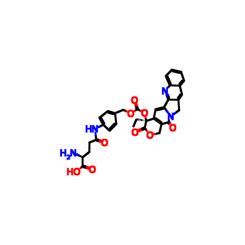 CC[C@@]1(OC(=O)OCc2ccc(NC(=O)CC[C@H](N)C(=O)O)cc2)C(=O)OCc2c1cc1n(c2=O)Cc2cc3ccccc3nc2-1